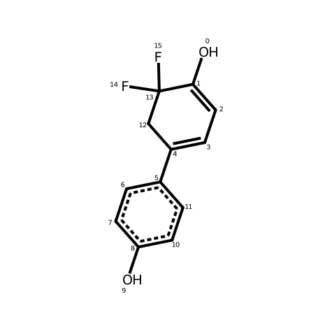 OC1=CC=C(c2ccc(O)cc2)CC1(F)F